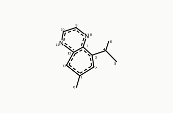 Cc1cc(C(C)C)c2nccnc2c1